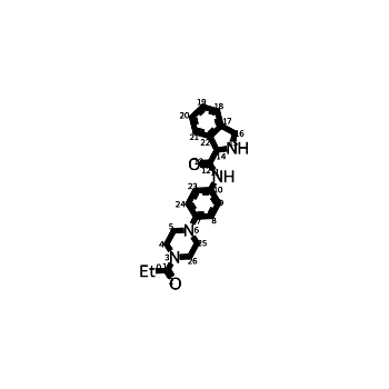 CCC(=O)N1CCN(c2ccc(NC(=O)C3NCc4ccccc43)cc2)CC1